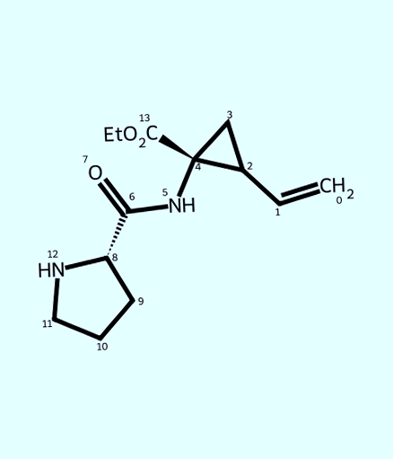 C=CC1C[C@]1(NC(=O)[C@@H]1CCCN1)C(=O)OCC